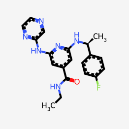 CCNC(=O)c1cc(Nc2cnccn2)nc(N[C@@H](C)c2ccc(F)cc2)c1